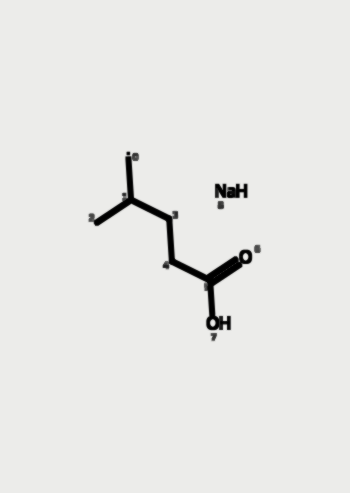 [CH2]C(C)CCC(=O)O.[NaH]